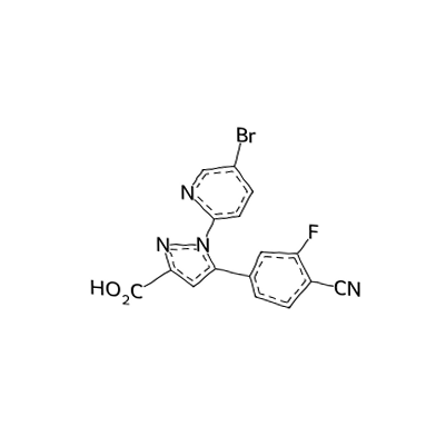 N#Cc1ccc(-c2cc(C(=O)O)nn2-c2ccc(Br)cn2)cc1F